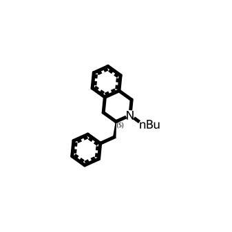 CCCCN1Cc2ccccc2C[C@@H]1Cc1ccccc1